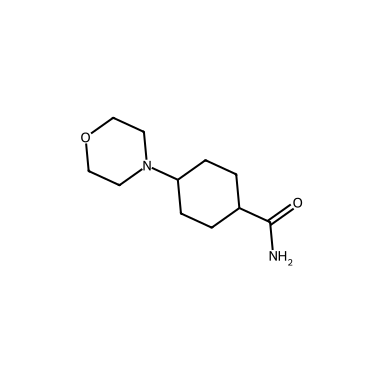 NC(=O)C1CCC(N2CCOCC2)CC1